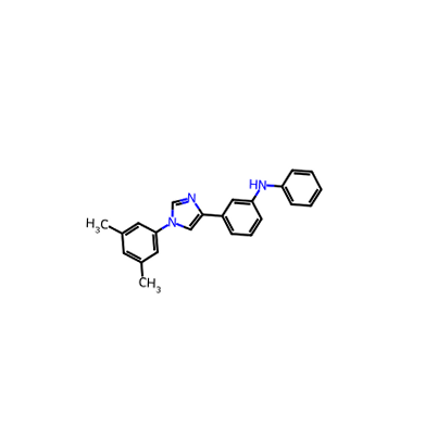 Cc1cc(C)cc(-n2cnc(-c3cccc(Nc4ccccc4)c3)c2)c1